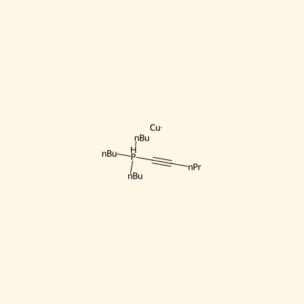 CCCC#C[PH](CCCC)(CCCC)CCCC.[Cu]